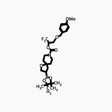 COc1ccc(COCC(OC(=O)N2CCC3(CC2)CC(B2OC(C)(C)C(C)(C)O2)CO3)C(F)(F)F)cc1